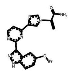 C=C(C(N)=O)n1cnc(-c2ccnc(-c3n[nH]c4ccc(OC(C)C)cc34)n2)c1